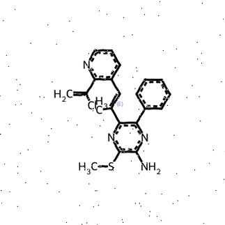 C=C(Cl)c1ncccc1/C=C(\C)c1nc(SC)c(N)nc1-c1ccccc1